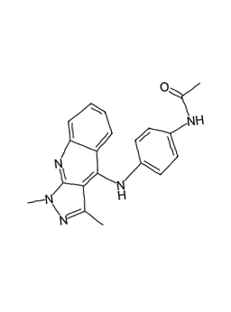 CC(=O)Nc1ccc(Nc2c3ccccc3nc3c2c(C)nn3C)cc1